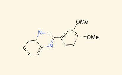 COc1ccc(-c2[c]nc3ccccc3n2)cc1OC